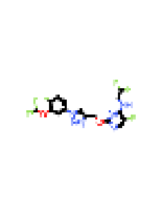 Fc1ccc(-n2cc(COc3ncc(F)c(NCC(F)F)n3)nn2)cc1OC(F)F